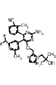 Cc1cc(-c2c(OCc3nccn3CC(C)(C)O)nc(N)nc2-c2cccc(C#N)c2C)cc(C(F)F)n1